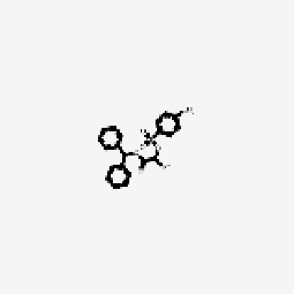 Cc1ccc(S(=O)(=O)OC(C(=O)OC(c2ccccc2)c2ccccc2)C(C)C)cc1